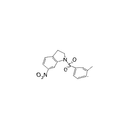 Cc1[c]ccc(S(=O)(=O)N2CCc3ccc([N+](=O)[O-])cc32)c1